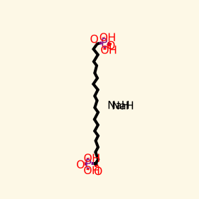 O=C(CCCCCCCCCCCCCCCCCCCCC(=O)P(=O)(O)O)P(=O)(O)O.[NaH].[NaH]